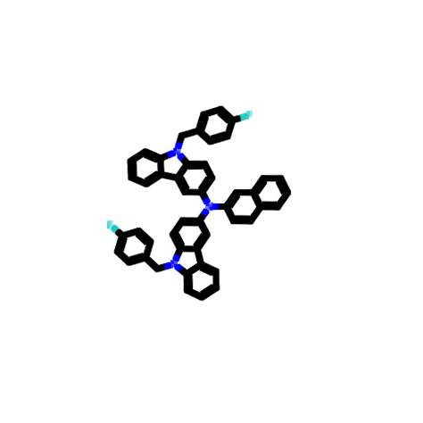 Fc1ccc(Cn2c3ccccc3c3cc(N(c4ccc5ccccc5c4)c4ccc5c(c4)c4ccccc4n5Cc4ccc(F)cc4)ccc32)cc1